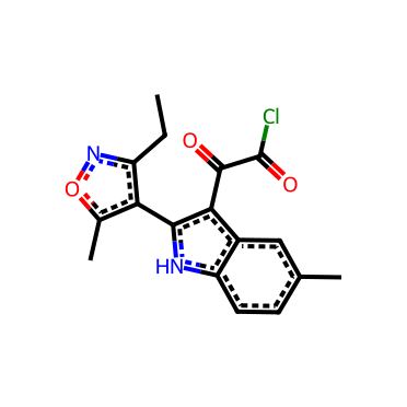 CCc1noc(C)c1-c1[nH]c2ccc(C)cc2c1C(=O)C(=O)Cl